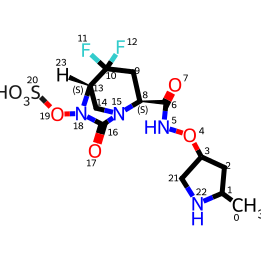 CC1CC(ONC(=O)[C@@H]2CC(F)(F)[C@@H]3CN2C(=O)N3OS(=O)(=O)O)CN1